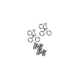 [Br][Mn-]([Br])([Br])[Br].[Br][Mn-]([Br])([Br])[Br].c1ccc([P+](CC2CC2)(c2ccccc2)c2ccccc2)cc1.c1ccc([P+](CC2CC2)(c2ccccc2)c2ccccc2)cc1